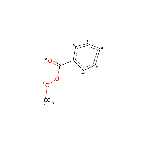 O=C(OOC(Cl)(Cl)Cl)c1ccccc1